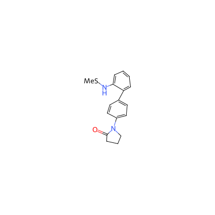 CSNc1ccccc1-c1ccc(N2CCCC2=O)cc1